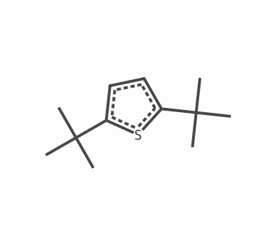 CC(C)(C)c1ccc(C(C)(C)C)s1